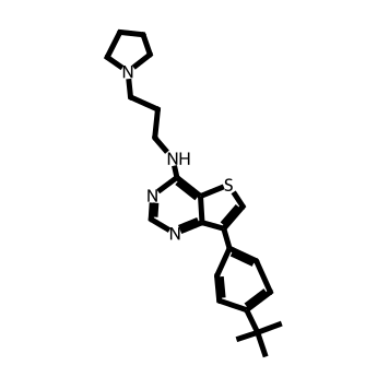 CC(C)(C)c1ccc(-c2csc3c(NCCCN4CCCC4)ncnc23)cc1